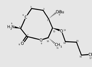 CC(C)CO[C@H]1CCC[C@H](N)C(=O)O[C@@H](C)[C@@H]1OCCCC(F)(F)F